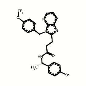 C[C@H](NC(=O)CCc1nc2cccnc2n1Cc1ccc(OC(F)(F)F)cc1)c1ccc(Br)cc1